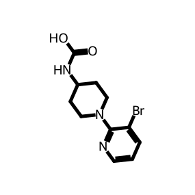 O=C(O)NC1CCN(c2ncccc2Br)CC1